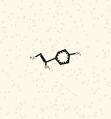 C/C=C(\C)c1ccc(C)cc1